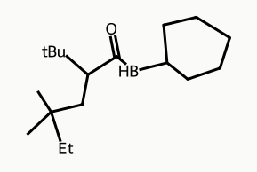 CCC(C)(C)CC(C(=O)BC1CCCCC1)C(C)(C)C